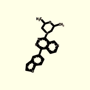 CC1CN(c2nnc(-c3ccc4occc4c3)c3ccncc23)CC(C)O1